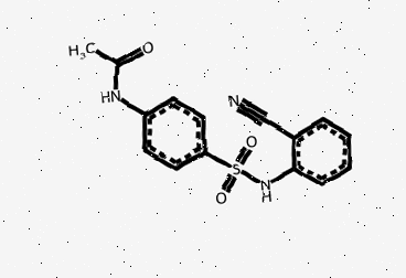 CC(=O)Nc1ccc(S(=O)(=O)Nc2ccccc2C#N)cc1